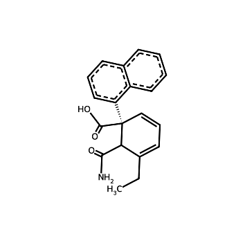 CCC1=CC=C[C@@](C(=O)O)(c2cccc3ccccc23)C1C(N)=O